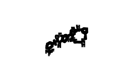 CC(C)(C(=O)Nc1ccc(-c2cnc3nc2NCCCNSc2cccc(c2)N3)cc1F)c1cccc(C(F)(F)F)c1